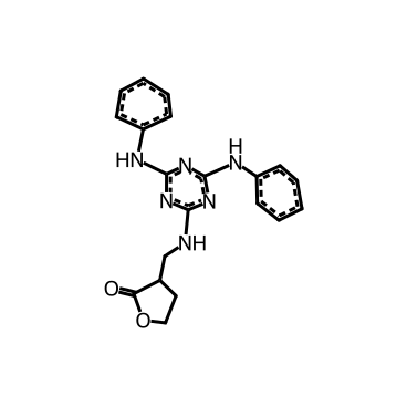 O=C1OCCC1CNc1nc(Nc2ccccc2)nc(Nc2ccccc2)n1